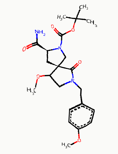 COc1ccc(CN2CC(OC)[C@@]3(C[C@@H](C(N)=O)N(C(=O)OC(C)(C)C)C3)C2=O)cc1